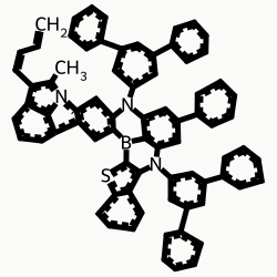 C=C/C=C\c1c(C)n2c3cc4c(cc3c3cccc1c32)B1c2sc3ccccc3c2N(c2cc(-c3ccccc3)cc(-c3ccccc3)c2)c2cc(-c3ccccc3)cc(c21)N4c1cc(-c2ccccc2)cc(-c2ccccc2)c1